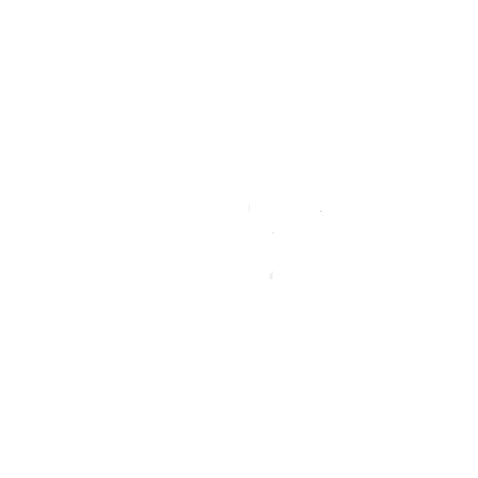 C/C=C/C(=O)OC(C(C)C)C(C)(C)COC(C)=O